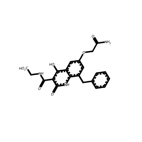 NC(=O)COc1cc(Cc2ccccc2)c2[nH]c(=O)c(C(=O)NCC(=O)O)c(O)c2c1